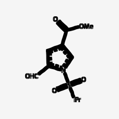 COC(=O)c1cc(C=O)n(S(=O)(=O)C(C)C)c1